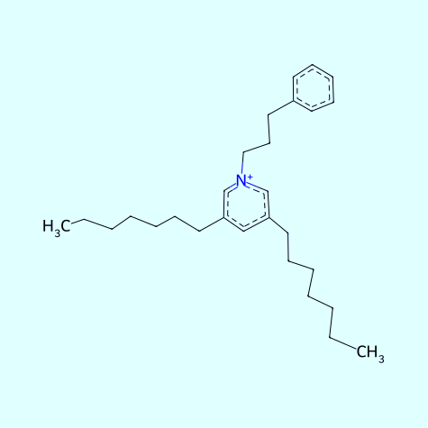 CCCCCCCc1cc(CCCCCCC)c[n+](CCCc2ccccc2)c1